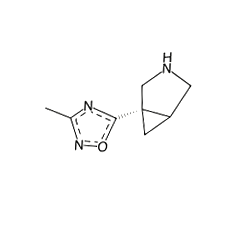 Cc1noc([C@]23CNCC2C3)n1